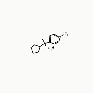 CC(C(=O)O)(c1ccc(C(F)(F)F)cc1)C1CCCC1